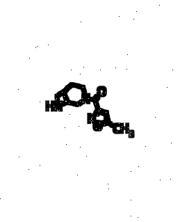 Cc1cc(C(=O)N2CCC3CNC3C2)no1